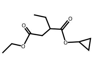 CCOC(=O)CC(CC)C(=O)OC1CC1